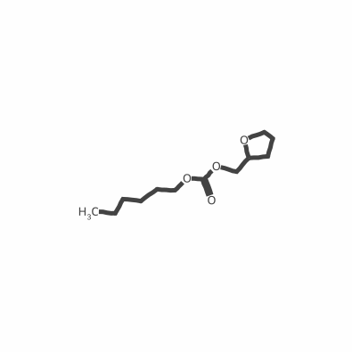 CCCCCCOC(=O)OCC1CCCO1